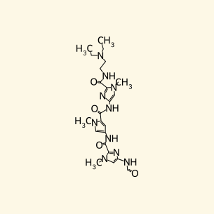 CCN(CC)CCNC(=O)c1nc(NC(=O)c2cc(NC(=O)c3nc(NC=O)cn3C)cn2C)cn1C